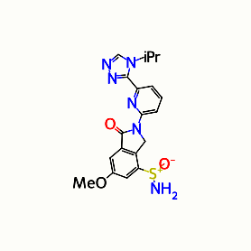 COc1cc2c(c([S+](N)[O-])c1)CN(c1cccc(-c3nncn3C(C)C)n1)C2=O